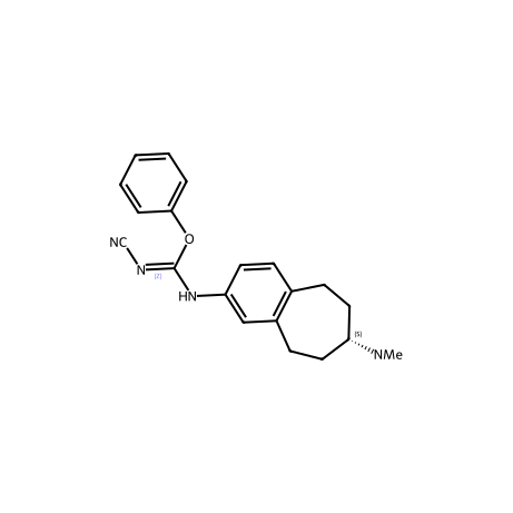 CN[C@H]1CCc2ccc(N/C(=N/C#N)Oc3ccccc3)cc2CC1